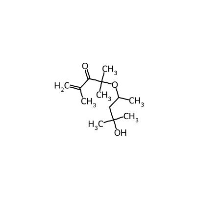 C=C(C)C(=O)C(C)(C)OC(C)CC(C)(C)O